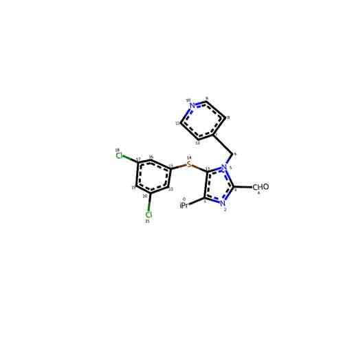 CC(C)c1nc(C=O)n(Cc2ccncc2)c1Sc1cc(Cl)cc(Cl)c1